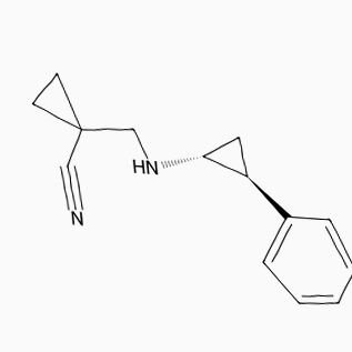 N#CC1(CN[C@@H]2C[C@H]2c2ccccc2)CC1